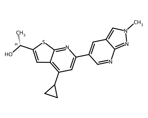 C[C@@H](O)c1cc2c(C3CC3)cc(-c3cnc4nn(C)cc4c3)nc2s1